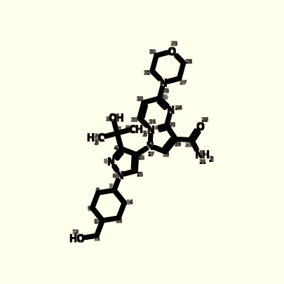 CC(C)(O)c1nn(C2CCC(CO)CC2)cc1-n1cc(C(N)=O)c2nc(N3CCOCC3)cc[n+]21